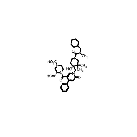 C[C@H](CC1CCCCC1)C(=O)N1CC[C@@](O)(Cn2cc(C(=O)N3CCN(C(=O)O)C[C@H]3CO)c(-c3ccccc3)cc2=O)C(C)(C)C1